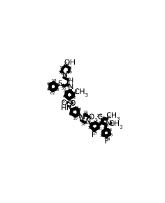 Cc1cc(S(=O)(=O)Nc2ccc(N3CCN(c4cc(F)cc(-c5c(C(=O)O)c(C)n(C)c5-c5ccc(F)cc5)c4)CC3)cc2)ccc1N[C@H](CCN1CCC(O)CC1)CSc1ccccc1